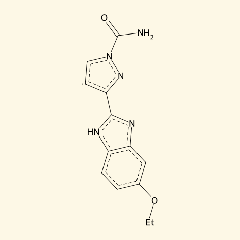 CCOc1ccc2[nH]c(-c3[c]cn(C(N)=O)n3)nc2c1